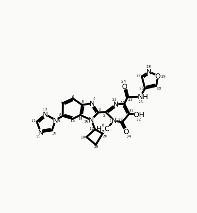 Cn1c(-c2nc3ccc(-n4cncn4)cc3n2C2CCC2)nc(C(=O)Nc2cnoc2)c(O)c1=O